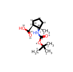 CC(C)(C)OC(=O)N[C@]1(C)CCC[C@@H]1C(=O)O